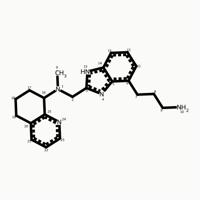 CN(Cc1nc2c(CCCN)cccc2[nH]1)C1CCCc2cccnc21